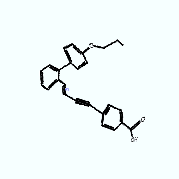 CCCOc1ccc(-c2ccccc2/C=C/C#Cc2ccc(C(=O)O)cc2)cc1